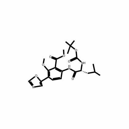 COC(=O)c1c(NC(=O)[C@@H](CC(C)C)NC(=O)OC(C)(C)C)ccc(-c2cnco2)c1OC